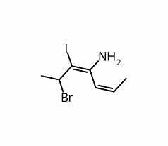 C/C=C\C(N)=C(\I)C(C)Br